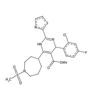 COC(=O)C1=C(C2CCCN(S(C)(=O)=O)CC2)NC(c2nccs2)=NC1c1ccc(F)cc1Cl